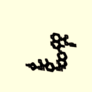 Cc1cc(Nc2ncc3c(n2)CN(c2cnc4c(c2C)N(C(=O)OC(C)(C)C)CCO4)CC3)ccc1C(=O)NC1CN(C)C1